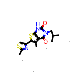 Cc1nc(-c2sc3[nH]c(=O)n(CC(C)C)c(=O)c3c2C)cs1